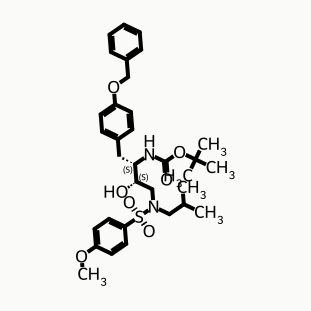 COc1ccc(S(=O)(=O)N(CC(C)C)C[C@H](O)[C@H](Cc2ccc(OCc3ccccc3)cc2)NC(=O)OC(C)(C)C)cc1